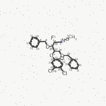 CO/N=C/[C@@H](F)[C@H](OCc1ccccc1)[C@@H](COCc1ccccc1)Oc1cc(Cl)c(Cl)cc1Cl